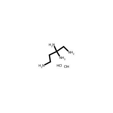 Cl.Cl.NCCC(N)(N)CN